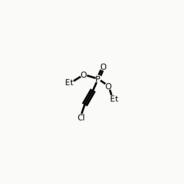 CCOP(=O)(C#CCl)OCC